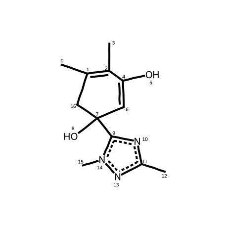 CC1=C(C)C(O)=CC(O)(c2nc(C)nn2C)C1